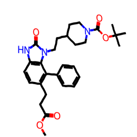 COC(=O)CCc1ccc2[nH]c(=O)n(CCC3CCN(C(=O)OC(C)(C)C)CC3)c2c1-c1ccccc1